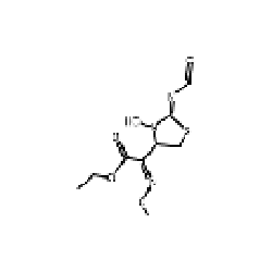 CCOC(=O)C(=NOC)C1CSC(=NC=O)N1O